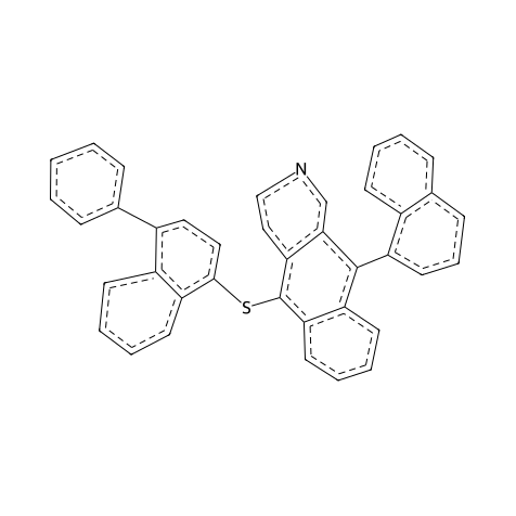 c1ccc(-c2ccc(Sc3c4ccccc4c(-c4cccc5ccccc45)c4cnccc34)c3ccccc23)cc1